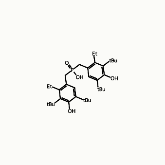 CCc1c(CP(=O)(O)Cc2cc(C(C)(C)C)c(O)c(C(C)(C)C)c2CC)cc(C(C)(C)C)c(O)c1C(C)(C)C